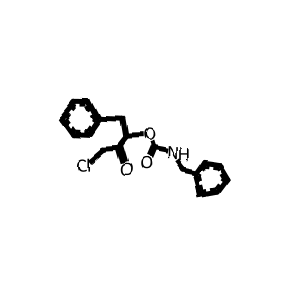 O=C(NCc1ccccc1)OC(Cc1ccccc1)C(=O)CCl